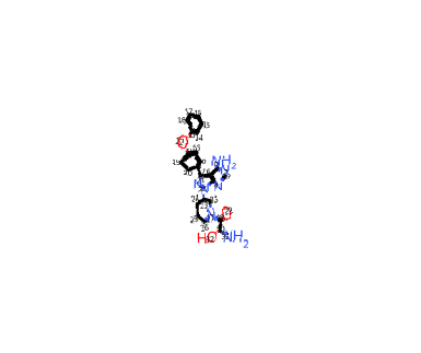 Nc1ncnc2c1c(-c1ccc(Oc3ccccc3)cc1)nn2[C@@H]1CCCN(C(=O)C(N)O)C1